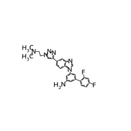 CN(C)CCn1cc(-c2ccc3c(c2)ncn3-c2cc(N)cc(-c3ccc(F)cc3F)c2)nn1